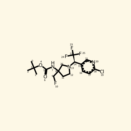 CC(C)(C)OC(=O)NC1(CF)CCN([C@H](c2ccc(Cl)nc2)C(F)(F)F)C1